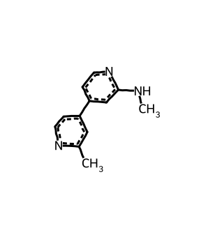 CNc1cc(-c2ccnc(C)c2)ccn1